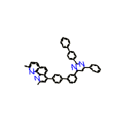 Cc1ccc2ccc3c(-c4ccc(-c5cccc(-c6cc(-c7ccccc7)nc(-c7ccc(-c8ccccc8)cc7)n6)c5)cc4)cc(C)nc3c2n1